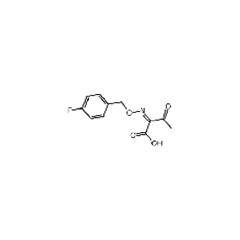 CC(=O)/C(=N/OCc1ccc(F)cc1)C(=O)O